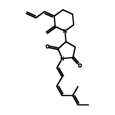 C=C/C=C1/CCCN(C2CC(=O)N(/C=C/C=C\C(C)=C\C)C2=O)C1=C